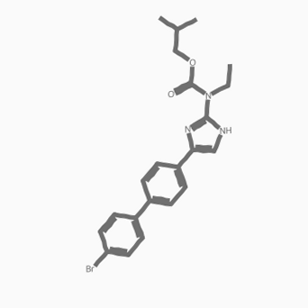 CCN(C(=O)OCC(C)C)c1nc(-c2ccc(-c3ccc(Br)cc3)cc2)c[nH]1